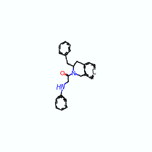 O=C(CNc1ccccc1)N1Cc2ccccc2CC1Cc1ccccc1